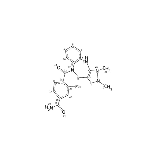 CN1CC2=C(Nc3ccccc3N(C(=O)c3ccc(C(N)=O)cc3F)C2)N1C